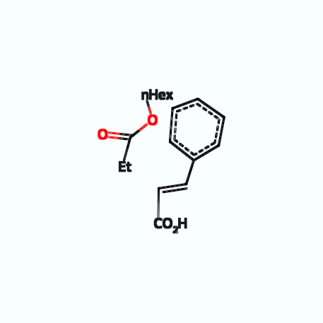 CCCCCCOC(=O)CC.O=C(O)C=Cc1ccccc1